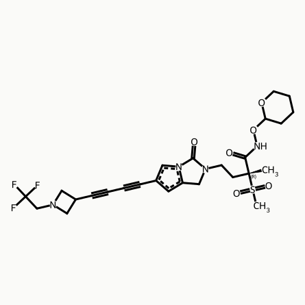 C[C@@](CCN1Cc2cc(C#CC#CC3CN(CC(F)(F)F)C3)cn2C1=O)(C(=O)NOC1CCCCO1)S(C)(=O)=O